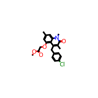 COC(=O)COc1cc(C)cc2c1c(Cc1ccc(Cl)cc1)c(C)c(=O)n2C